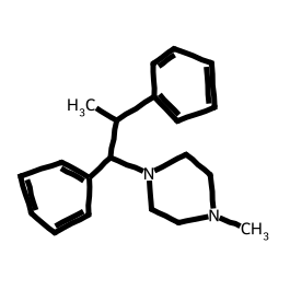 CC(c1ccccc1)C(c1ccccc1)N1CCN(C)CC1